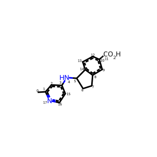 Cc1cc(NC2CCc3cc(C(=O)O)ccc32)ccn1